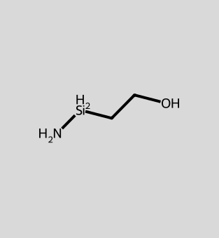 N[SiH2]CCO